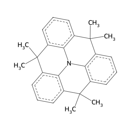 CC1(C)c2cccc3c2N2c4c1cccc4C(C)(C)c1cccc(c12)C3(C)C